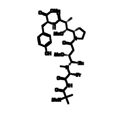 CC[C@H](C)[C@@H]([C@@H](CC(=O)N1CCC[C@H]1[C@H](OC)[C@@H](C)C(=O)N[C@@H](Cc1ccc(O)cc1)C(=O)OC)OC)N(C)[C@H](C(=O)NC(=O)C(C)(C)NC)C(C)C